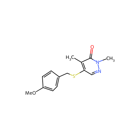 COc1ccc(CSc2cnn(C)c(=O)c2C)cc1